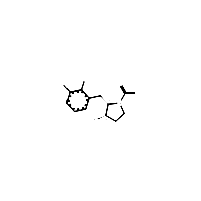 N[C@@H]1CCN(C(=O)O)[C@@H]1Cc1cccc(Br)c1F